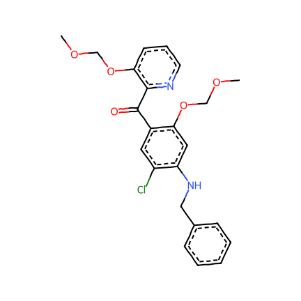 COCOc1cc(NCc2ccccc2)c(Cl)cc1C(=O)c1ncccc1OCOC